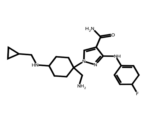 NCC1(n2cc(C(N)=O)c(NC3=CCC(F)C=C3)n2)CCC(NCC2CC2)CC1